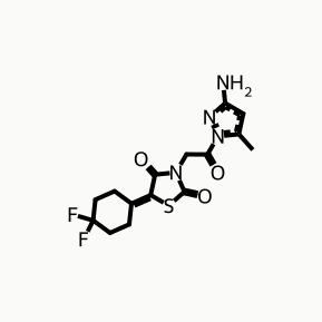 Cc1cc(N)nn1C(=O)CN1C(=O)SC(=C2CCC(F)(F)CC2)C1=O